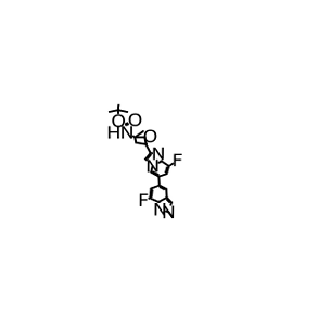 Cn1cc2cc(-c3cc(F)c4nc(C56CC(NC(=O)OC(C)(C)C)(CO5)C6)cn4c3)cc(F)c2n1